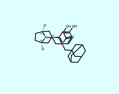 O=C(CO)N(CCN1[C@@H]2CC[C@H]1C[C@@H](c1cccc(O)c1)C2)CC12CC3CC(CC(C3)C1)C2